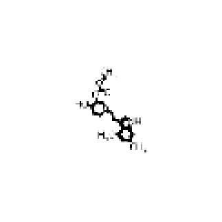 CCOC(=O)OC1CN(CCc2c[nH]c3cc(C)cc(C)c23)CCC1O